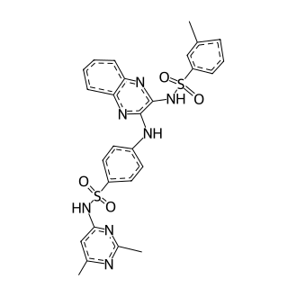 Cc1cccc(S(=O)(=O)Nc2nc3ccccc3nc2Nc2ccc(S(=O)(=O)Nc3cc(C)nc(C)n3)cc2)c1